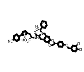 C[C@@H](c1ccccc1)N1Cc2cc3c(cc2C[C@H]1C(=O)N[C@@H](Cc1ccc(-c2ccc(C#N)cc2)s1)C(=O)O)OC[C@H](c1ccc(OCc2ccc(Cl)c(Cl)c2)cc1)O3